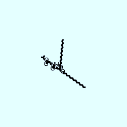 CCCCCCCCCCCCCCOCC(COC(=O)NCCC(=O)OCC(C)C)OCCCCCCCCCCCCCC